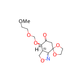 COCCOCO[C@H]1C(=O)CC2(OCCO2)C2=NOC[C@H]21